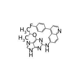 CC(C)Oc1nc(Nc2ccc3nccc(-c4ccc(F)cc4)c3c2)nc2[nH]cnc12